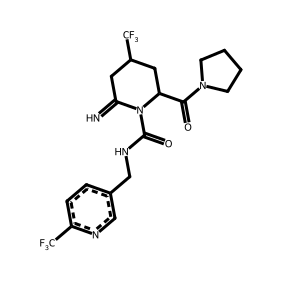 N=C1CC(C(F)(F)F)CC(C(=O)N2CCCC2)N1C(=O)NCc1ccc(C(F)(F)F)nc1